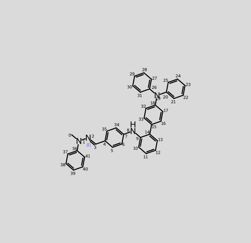 CN(/N=C/c1ccc(Nc2ccccc2-c2ccc(N(c3ccccc3)c3ccccc3)cc2)cc1)c1ccccc1